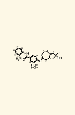 CC(C)(O)CN1CCCC(Oc2ccc(C(=O)Nc3ccccc3N)cc2)CC1.Cl.Cl